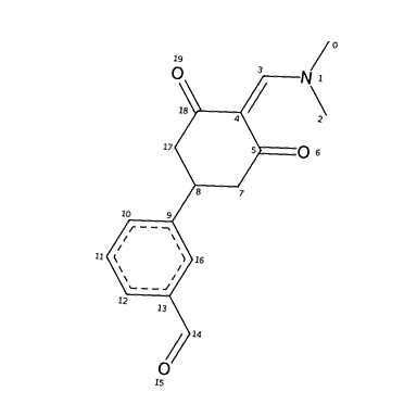 CN(C)C=C1C(=O)CC(c2cccc(C=O)c2)CC1=O